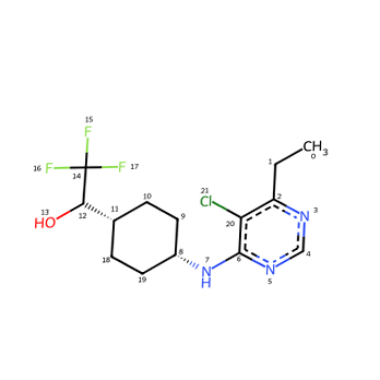 CCc1ncnc(N[C@H]2CC[C@@H](C(O)C(F)(F)F)CC2)c1Cl